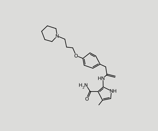 C=C(Cc1ccc(OCCCN2CCCCC2)cc1)Nc1[nH]cc(C)c1C(N)=O